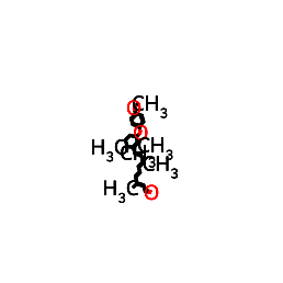 COc1ccc(OC2CCC(C)(C)C(C=CC(C)=CC=CC(C)=CC=O)=C2C)cc1